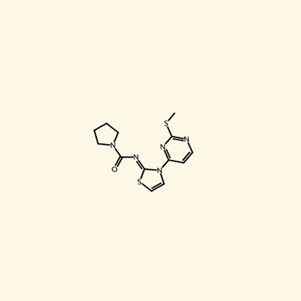 CSc1nccc(-n2ccsc2=NC(=O)N2CCCC2)n1